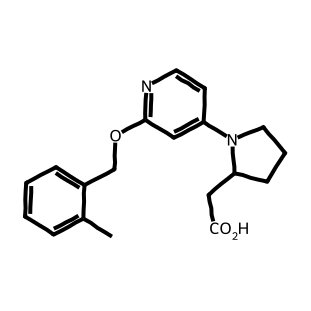 Cc1ccccc1COc1cc(N2CCCC2CC(=O)O)ccn1